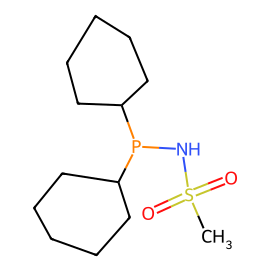 CS(=O)(=O)NP(C1CCCCC1)C1CCCCC1